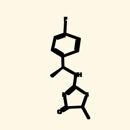 CC1SC(N[C@@H](C)c2ccc(F)cc2)=NC1=O